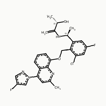 C=C(N[C@@H](C)c1cc(F)cc(Cl)c1COc1cccc2c(-n3cc(F)cn3)cc(C)nc12)[C@H](C)O